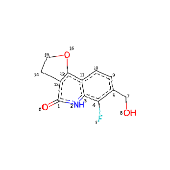 O=c1[nH]c2c(F)c(CO)ccc2c2c1CCO2